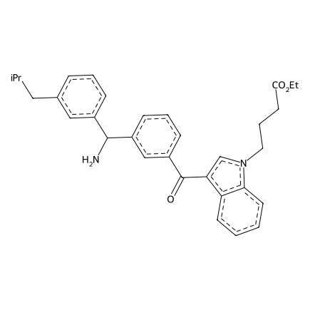 CCOC(=O)CCCn1cc(C(=O)c2cccc(C(N)c3cccc(CC(C)C)c3)c2)c2ccccc21